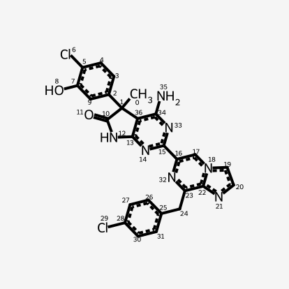 CC1(c2ccc(Cl)c(O)c2)C(=O)Nc2nc(-c3cn4ccnc4c(Cc4ccc(Cl)cc4)n3)nc(N)c21